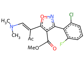 COC(=O)c1c(-c2c(F)cccc2Cl)noc1/C(=C/N(C)C)C(C)=O